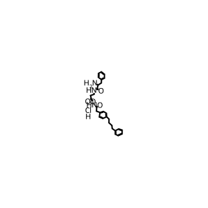 Cl.NC(Cc1ccccc1)C(=O)NCCC(=O)ONC(=O)Cc1ccc(CCCCc2ccccc2)cc1